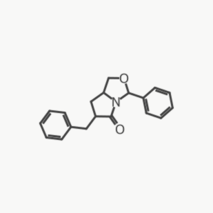 O=C1C(Cc2ccccc2)CC2COC(c3ccccc3)N12